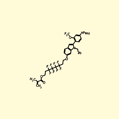 C=C(C)C(=O)OCCC(F)(F)C(F)(F)C(F)(F)C(F)(F)CCOc1ccc2cc(-c3ccc(CCCCC)cc3OC(F)(F)F)n(CC(C)C)c2c1